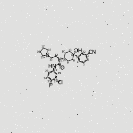 N#Cc1cccc(C2(O)CCC(N(CCN3CCCC3)C(=O)Nc3ccc(F)c(Cl)c3)CC2)c1